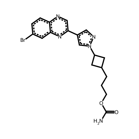 NC(=O)OCCCC1CC(n2cc(-c3cnc4ccc(Br)cc4n3)cn2)C1